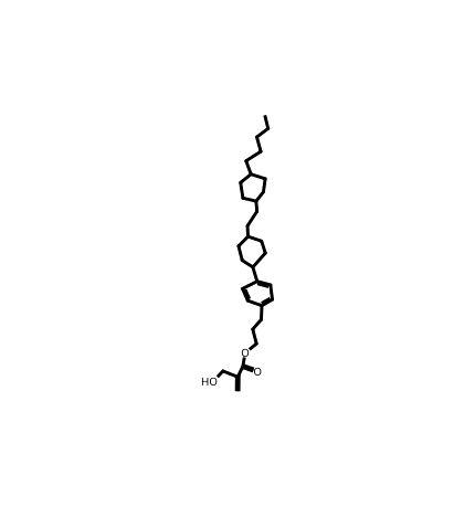 C=C(CO)C(=O)OCCCc1ccc(C2CCC(CCC3CCC(CCCCC)CC3)CC2)cc1